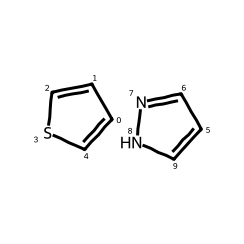 c1ccsc1.c1cn[nH]c1